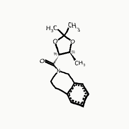 C[C@@H]1OC(C)(C)O[C@H]1C(=O)N1CCc2ccccc2C1